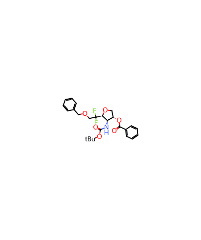 CC(C)(C)OC(=O)N[C@@H]1[C@@H](OC(=O)c2ccccc2)CO[C@@H]1C(F)(F)COCc1ccccc1